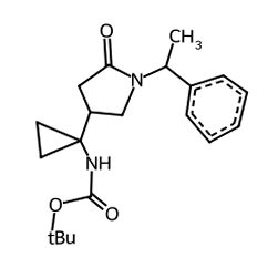 CC(c1ccccc1)N1CC(C2(NC(=O)OC(C)(C)C)CC2)CC1=O